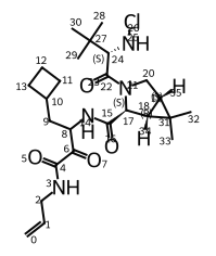 C=CCNC(=O)C(=O)C(CC1CCC1)NC(=O)[C@@H]1[C@@H]2[C@H](CN1C(=O)[C@@H](NCl)C(C)(C)C)C2(C)C